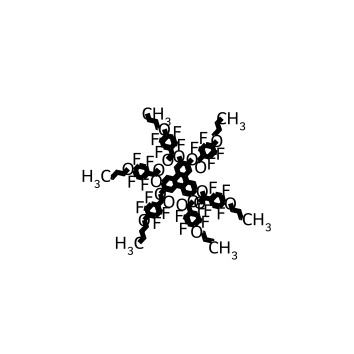 CCCCOc1c(F)c(F)c(C(=O)Oc2cc3c4cc(OC(=O)c5c(F)c(F)c(OCCCC)c(F)c5F)c(OC(=O)c5c(F)c(F)c(OCCCC)c(F)c5F)cc4c4cc(OC(=O)c5c(F)c(F)c(OCCCC)c(F)c5F)c(OC(=O)c5c(F)c(F)c(OCCCC)c(F)c5F)cc4c3cc2OC(=O)c2c(F)c(F)c(OCCCC)c(F)c2F)c(F)c1F